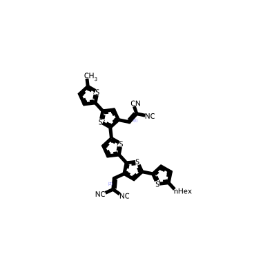 [C-]#[N+]/C(C#N)=C\c1cc(-c2ccc(CCCCCC)s2)sc1-c1ccc(-c2sc(-c3ccc(C)s3)cc2/C=C(\C#N)[N+]#[C-])s1